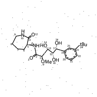 CO[C@@H](C(=O)N[C@H]1CCCCNC1=O)[C@H](O)[C@@H](O)[C@H](O)c1cccc(C(C)(C)C)c1